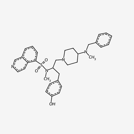 CN(Cc1ccccc1)C1CCN(CC(Cc2ccc(O)cc2)N(C)S(=O)(=O)c2cccc3cnccc23)CC1